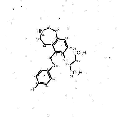 Fc1ccc(OCc2c(Cl)ccc3c2CCNCC3)cc1.O=C(O)CCC(=O)O